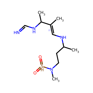 C/C(=C\NC(C)CCN(C)[SH](=O)=O)C(C)NC=N